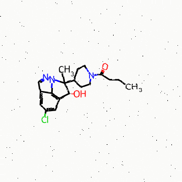 CCCC(=O)N1CCC(C2(C)[C@H](O)c3cc(Cl)cc4cnn2c34)CC1